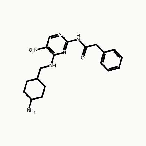 NC1CCC(CNc2nc(NC(=O)Cc3ccccc3)ncc2[N+](=O)[O-])CC1